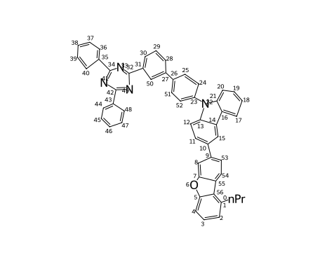 CCCc1cccc2oc3cc(-c4ccc5c(c4)c4ccccc4n5-c4ccc(-c5cccc(-c6nc(-c7ccccc7)nc(-c7ccccc7)n6)c5)cc4)ccc3c12